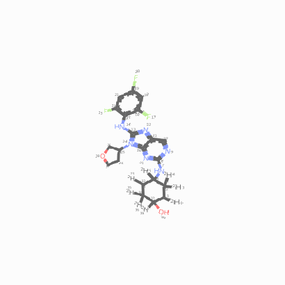 [2H]C1C([2H])([2H])C([2H])(Nc2ncc3nc(Nc4c(F)cc(F)cc4F)n(C4CCOC4)c3n2)C([2H])C([2H])([2H])C1([2H])O